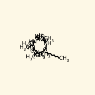 CCCCCCCCCC[C@H]1OCCNC(=O)[C@H]([C@H](C)O)NC(=O)[C@H](CN)NC(=O)[C@H]([C@H](C)CC)NC(=O)[C@H](CC(C)C)N(C)C(=O)[C@@H]1C